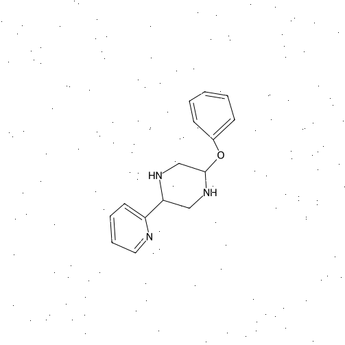 c1ccc(OC2CNC(c3ccccn3)CN2)cc1